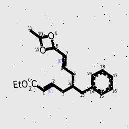 CCOC(=O)/C=C/CC(C/C=C/C1OC(C)O1)Cc1ccccc1